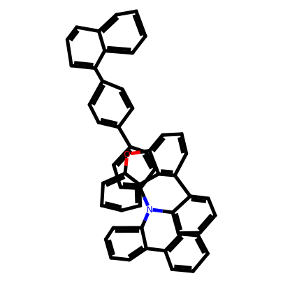 c1ccc(-c2ccccc2N(c2ccc(-c3ccc(-c4cccc5ccccc45)cc3)cc2)c2ccccc2-c2cccc3oc4ccccc4c23)cc1